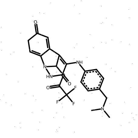 CN(C)Cc1ccc(NC2=C3C4=CC(=O)CC=C4N(NC2=O)C3OC(=O)C(F)(F)F)cc1